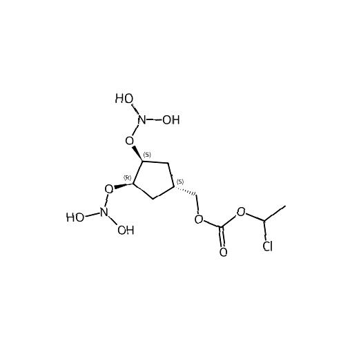 CC(Cl)OC(=O)OC[C@H]1C[C@H](ON(O)O)[C@H](ON(O)O)C1